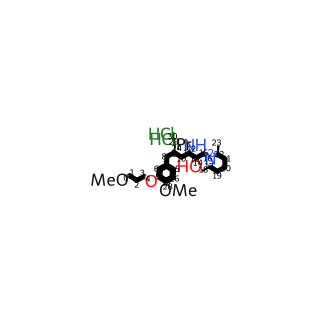 COCCCOc1cc(C[C@@H](C[C@H](N)[C@@H](O)CN2[C@H](C)CCC[C@@H]2C)C(C)C)ccc1OC.Cl.Cl